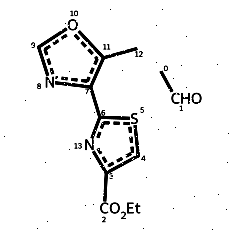 CC=O.CCOC(=O)c1csc(-c2ncoc2C)n1